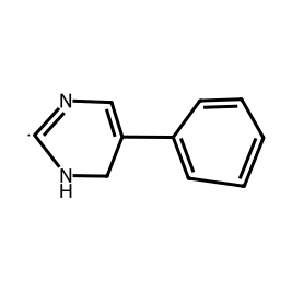 [C]1=NC=C(c2ccccc2)CN1